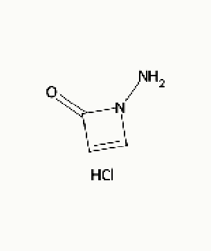 Cl.NN1C=CC1=O